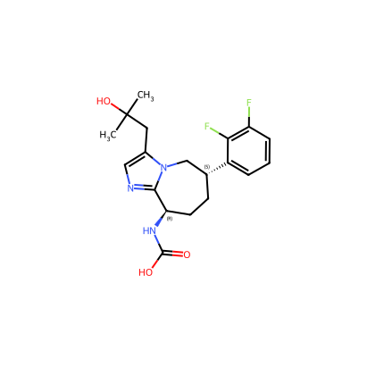 CC(C)(O)Cc1cnc2n1C[C@H](c1cccc(F)c1F)CC[C@H]2NC(=O)O